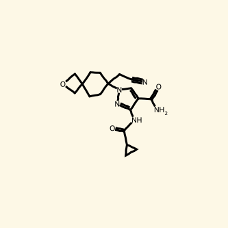 N#CCC1(n2cc(C(N)=O)c(NC(=O)C3CC3)n2)CCC2(CC1)COC2